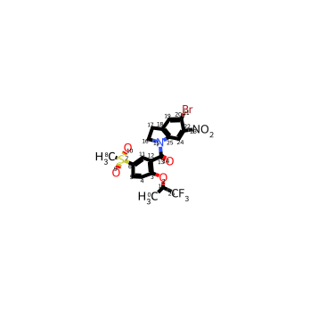 CC(Oc1ccc(S(C)(=O)=O)cc1C(=O)N1CCc2cc(Br)c([N+](=O)[O-])cc21)C(F)(F)F